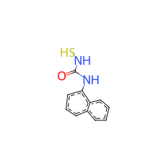 O=C(NS)Nc1cccc2ccccc12